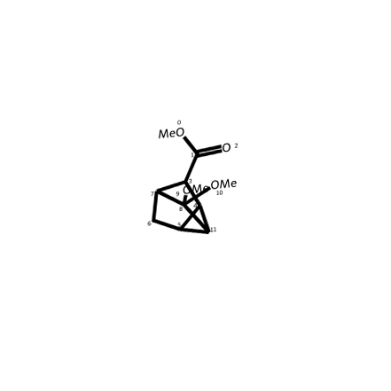 COC(=O)C1C2C3CC1C(OC)(OC)C32